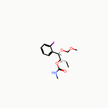 CC[C@H](OC(=O)NC)[C@@H](OCOC)c1ccccc1I